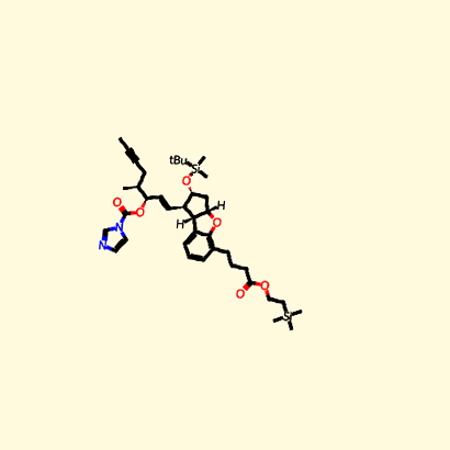 CC#CC[C@H](C)[C@@H](/C=C/[C@@H]1[C@H]2c3cccc(CCCC(=O)OCC[Si](C)(C)C)c3O[C@H]2C[C@H]1O[Si](C)(C)C(C)(C)C)OC(=O)n1ccnc1